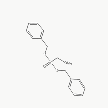 COCP(=O)(OCc1ccccc1)OCc1ccccc1